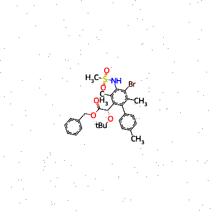 Cc1ccc(-c2c(C)c(Br)c(NS(C)(=O)=O)c(C)c2[C@H](OC(C)(C)C)C(=O)OCc2ccccc2)cc1